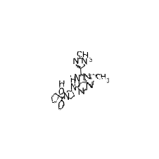 CCn1c(-c2cnc(C)nc2)nc2c(N[C@H]3CCN(C(=O)C4(O)CCCC4)C3)ncnc21